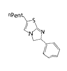 CCCCCC1=CN2CC(c3ccccc3)N=C2S1